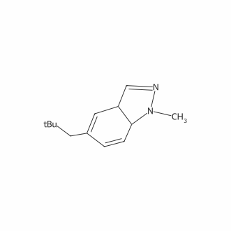 CN1N=CC2C=C(CC(C)(C)C)C=CC21